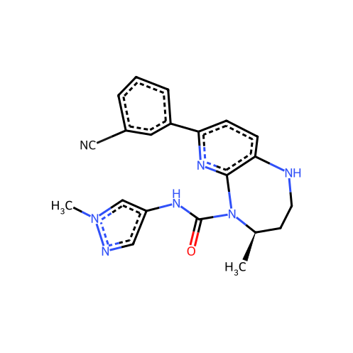 C[C@@H]1CCNc2ccc(-c3cccc(C#N)c3)nc2N1C(=O)Nc1cnn(C)c1